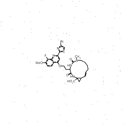 COc1ccc2c(OCCC3NC(=O)N(C)CCCC/C=C/C4CC4(C(=O)O)NC3=O)cc(-c3nc(C(C)C)cs3)nc2c1F